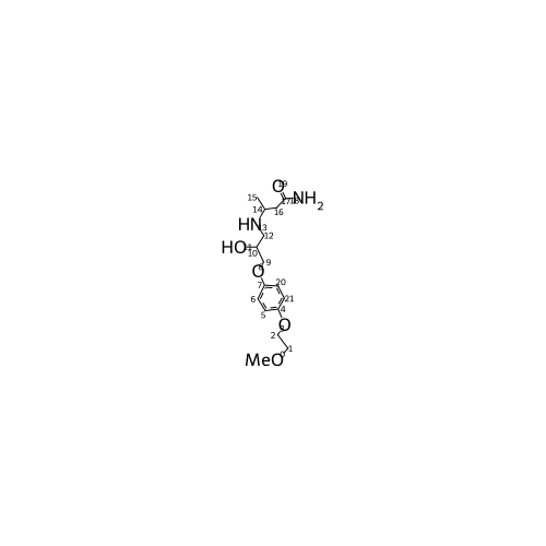 COCCOc1ccc(OCC(O)CNC(C)CC(N)=O)cc1